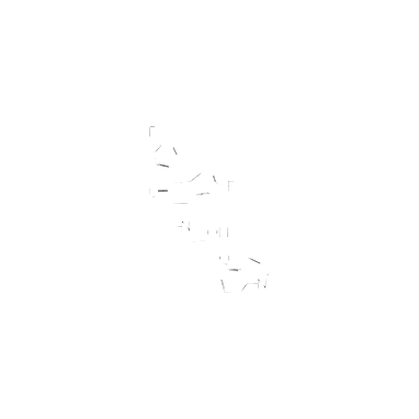 O=C(C1CCN(CC(O)COc2cccc3ncccc23)CC1)C(c1ccc(F)cc1)c1ccc(F)cc1